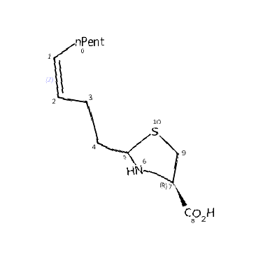 CCCCC/C=C\CCC1N[C@H](C(=O)O)CS1